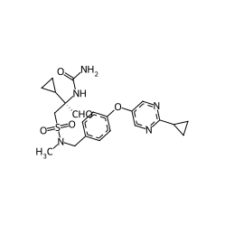 CN(Cc1ccc(Oc2cnc(C3CC3)nc2)cc1)S(=O)(=O)C[C@](C=O)(NC(N)=O)C1CC1